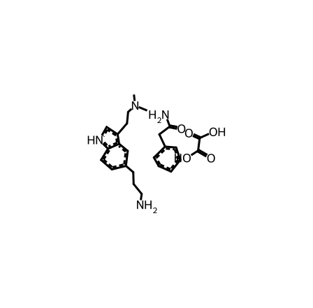 CN(C)CCc1c[nH]c2ccc(CCCN)cc12.NC(=O)Cc1ccccc1.O=C(O)C(=O)O